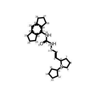 O=C(NS/C=C/C1CCCN1C1CCCC1)Nc1c2c(cc3c1CCC3)CCC2